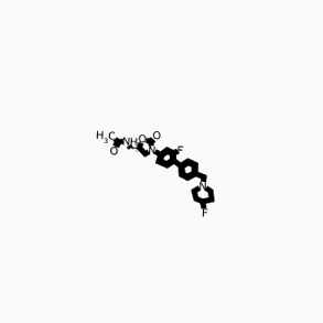 CC(=O)NC[C@H]1CN(c2ccc(-c3ccc(CN4CCC(F)CC4)cc3)c(F)c2)C(=O)O1